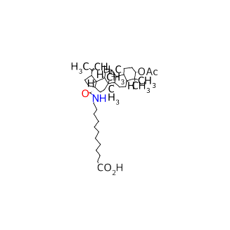 C=C(C)[C@@H]1CC[C@]2(C(=O)NCCCCCCCCCCCC(=O)O)CC[C@]3(C)[C@H](CCC4[C@@]5(C)CC[C@H](OC(C)=O)C(C)(C)[C@@H]5CC[C@]43C)[C@@H]12